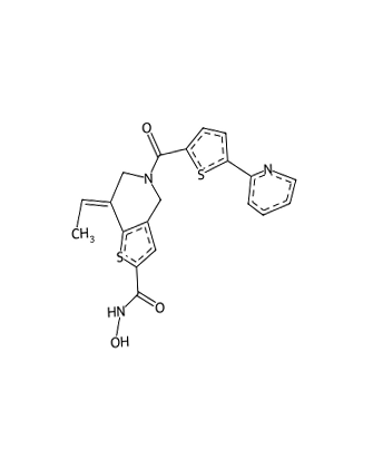 C/C=C1/CN(C(=O)c2ccc(-c3ccccn3)s2)Cc2cc(C(=O)NO)sc21